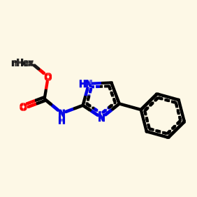 CCCCCCOC(=O)Nc1nc(-c2ccccc2)c[nH]1